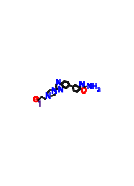 Nc1nc2cc(-c3ccc4ncc(N5CCN(CCC(=O)I)CC5)nc4c3)ccc2o1